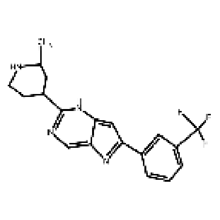 CC1CC(c2ncc3nc(-c4cccc(C(F)(F)F)c4)cc-3[nH]2)CCN1